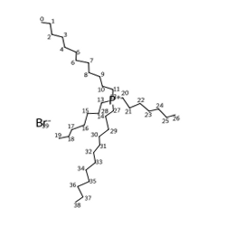 CCCCCCCCCCCC[P+](CCCCCCC)(CCCCCCC)CCCCCCCCCCCC.[Br-]